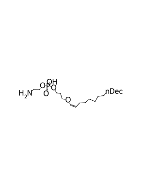 CCCCCCCCCCCCCCCC/C=C\OCCCOP(=O)(O)OCCN